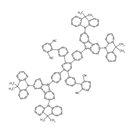 [C-]#[N+]c1cccc([N+]#[C-])c1-c1cccc(-c2cc(-c3ccc(-n4c5ccc(N6c7ccccc7C(C)(C)c7ccccc76)cc5c5cc(N6c7ccccc7C(C)(C)c7ccccc76)ccc54)cc3)c(-c3cccc(-c4c(C#N)cccc4C#N)c3)cc2-c2ccc(-n3c4ccc(N5c6ccccc6C(C)(C)c6ccccc65)cc4c4cc(N5c6ccccc6C(C)(C)c6ccccc65)ccc43)cc2)c1